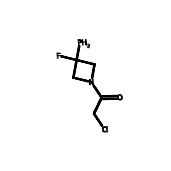 O=C(CCl)N1CC(F)(P)C1